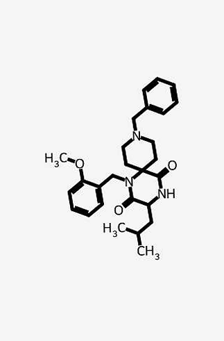 COc1ccccc1CN1C(=O)C(CC(C)C)NC(=O)C12CCN(Cc1ccccc1)CC2